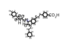 Cc1ccc(S(=O)(=O)NC(=O)N/N=C2\C(=O)N(CCc3ccccc3)c3ccc(SCCc4ccc(C(=O)O)cc4)cc32)cc1